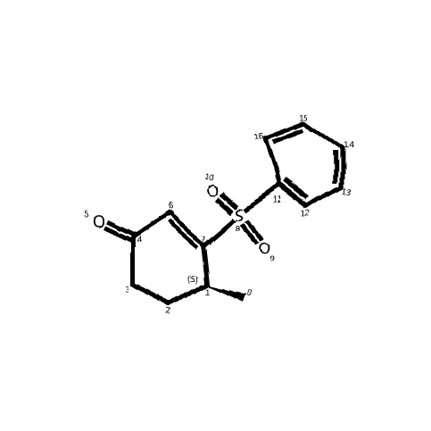 C[C@H]1CCC(=O)C=C1S(=O)(=O)c1ccccc1